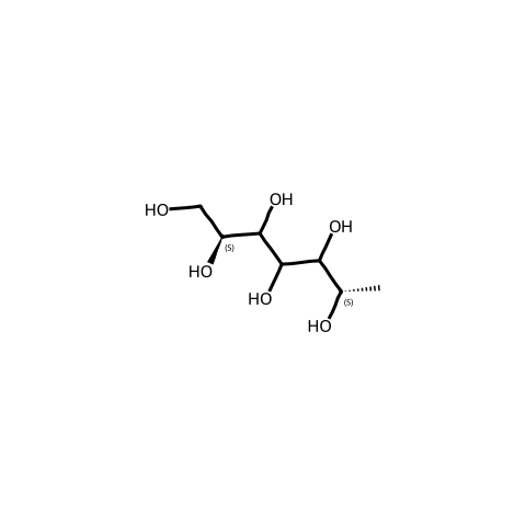 C[C@H](O)C(O)C(O)C(O)[C@@H](O)CO